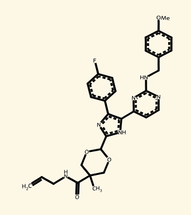 C=CCNC(=O)C1(C)COC(c2nc(-c3ccc(F)cc3)c(-c3ccnc(NCc4ccc(OC)cc4)n3)[nH]2)OC1